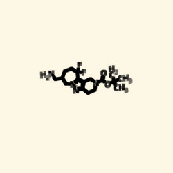 CC(C)(C)OC(=O)N1CCc2nn3c(c2C1)C(F)(F)CCC(CN)C3